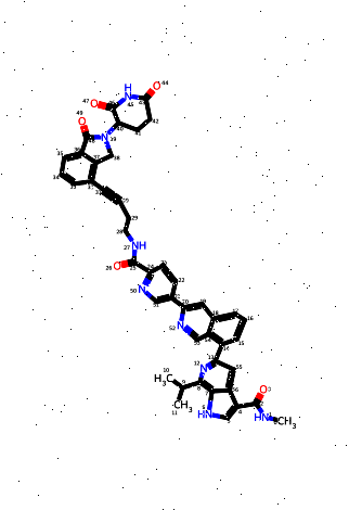 CNC(=O)c1c[nH]c2c(C(C)C)nc(-c3cccc4cc(-c5ccc(C(=O)NCCC#Cc6cccc7c6CN(C6CCC(=O)NC6=O)C7=O)nc5)ncc34)cc12